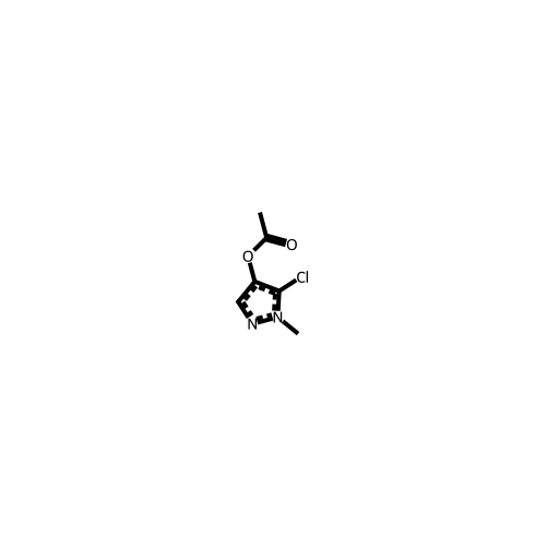 CC(=O)Oc1cnn(C)c1Cl